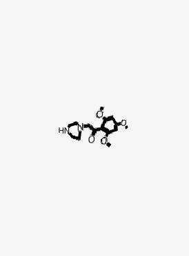 COc1cc(OC)c(C(=O)CN2CCNCC2)c(OC)c1